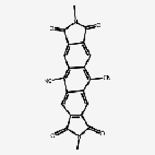 Cn1c(=O)c2cc3c(C#N)c4cc5c(=O)n(C)c(=O)c5cc4c(C#N)c3cc2c1=O